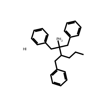 CCCC(Cc1ccccc1)C(P)(Cc1ccccc1)Cc1ccccc1.I